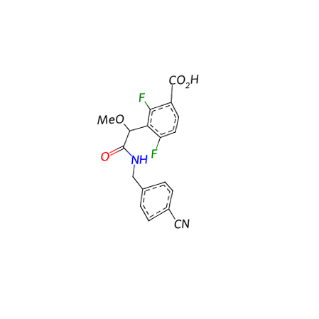 COC(C(=O)NCc1ccc(C#N)cc1)c1c(F)ccc(C(=O)O)c1F